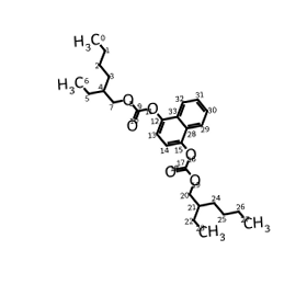 CCCCC(CC)COC(=O)Oc1ccc(OC(=O)OCC(CC)CCCC)c2ccccc12